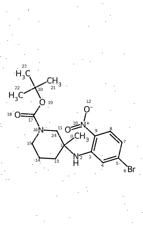 CC1(Nc2cc(Br)ccc2[N+](=O)[O-])CCCN(C(=O)OC(C)(C)C)C1